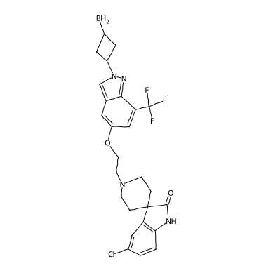 BC1CC(n2cc3cc(OCCN4CCC5(CC4)C(=O)Nc4ccc(Cl)cc45)cc(C(F)(F)F)c3n2)C1